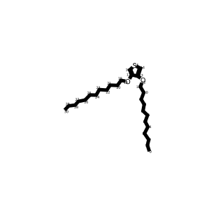 CCCCCCCCCCCCOc1cscc1OCCCCCCCCCCCC